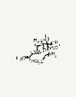 C=CCNC[N+](C)(C)C(C)(C)C(=O)[O-].NCC(=O)O